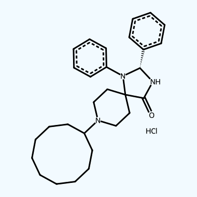 Cl.O=C1N[C@@H](c2ccccc2)N(c2ccccc2)C12CCN(C1CCCCCCCCC1)CC2